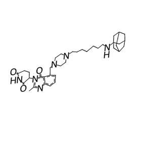 Cc1nc2cccc(CN3CCN(CCCCCCCNC45CC6CC(CC(C6)C4)C5)CC3)c2c(=O)n1C1CCC(=O)NC1=O